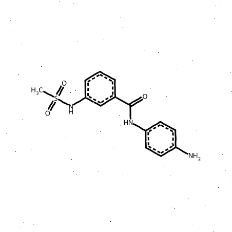 CS(=O)(=O)Nc1cccc(C(=O)Nc2ccc(N)cc2)c1